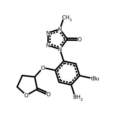 Bc1cc(OC2CCOC2=O)c(-n2nnn(C)c2=O)cc1C(C)(C)C